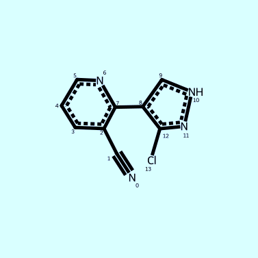 N#Cc1cccnc1-c1[c][nH]nc1Cl